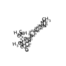 CNC(=O)CCC(C=O)N(C)C(=O)c1cc(N2CC(N3CCCC(N4CC5CN(c6nccc(C)n6)CC5C4)CC3)C2)ccc1C=O